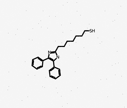 SCCCCCCCC1=NC(c2ccccc2)=C(c2ccccc2)[N]1